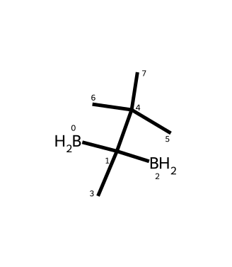 BC(B)(C)C(C)(C)C